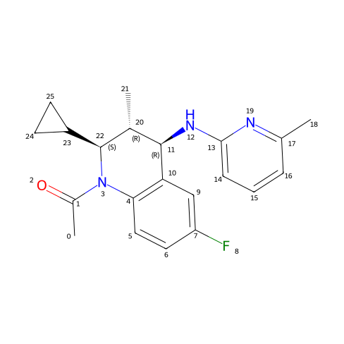 CC(=O)N1c2ccc(F)cc2[C@H](Nc2cccc(C)n2)[C@@H](C)[C@@H]1C1CC1